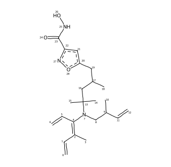 C=C/C(C)=C(\C=C)N(CC(C)C=C)C(C)(C)CC(C)Cc1cc(C(=O)NO)no1